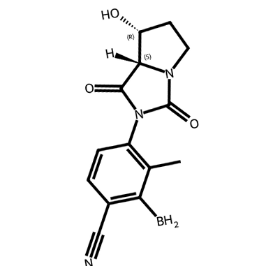 Bc1c(C#N)ccc(N2C(=O)[C@@H]3[C@H](O)CCN3C2=O)c1C